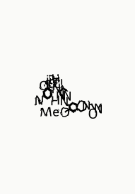 COc1cc2c(cc1Nc1ncc(Cl)c(Nc3ccc(N(C)C)cc3S(=O)(=O)C(C)C)n1)CCN(CC(=O)N(C)C)CC2